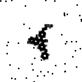 CCC(=C(c1ccc(C=CC(=O)O)cc1)c1ccc2[nH]ncc2c1F)c1cccc(OC2CCCCC2)c1